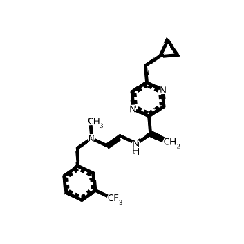 C=C(N/C=C/N(C)Cc1cccc(C(F)(F)F)c1)c1cnc(CC2CC2)cn1